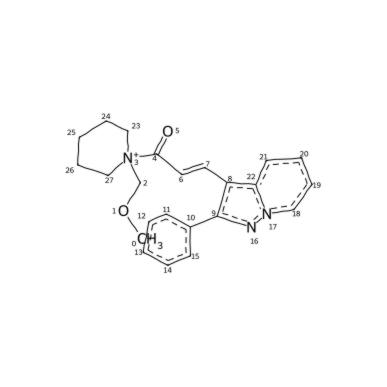 COC[N+]1(C(=O)C=Cc2c(-c3ccccc3)nn3ccccc23)CCCCC1